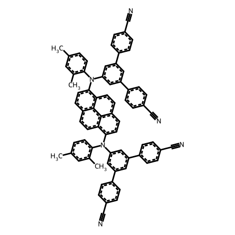 Cc1ccc(N(c2cc(-c3ccc(C#N)cc3)cc(-c3ccc(C#N)cc3)c2)c2ccc3ccc4c(N(c5cc(-c6ccc(C#N)cc6)cc(-c6ccc(C#N)cc6)c5)c5ccc(C)cc5C)ccc5ccc2c3c54)c(C)c1